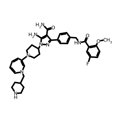 COc1ccc(F)cc1C(=O)NCc1ccc(-c2nn(C3CCN(C4=CN(CC5CCNCC5)C=CC=C4)CC3)c(N)c2C(N)=O)cc1